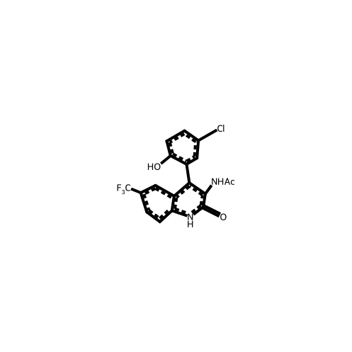 CC(=O)Nc1c(-c2cc(Cl)ccc2O)c2cc(C(F)(F)F)ccc2[nH]c1=O